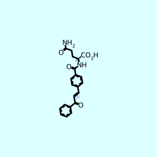 NC(=O)CC[C@H](NC(=O)c1ccc(/C=C/C(=O)c2ccccc2)cc1)C(=O)O